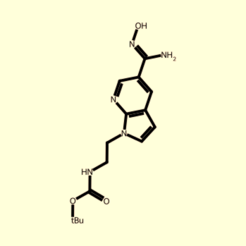 CC(C)(C)OC(=O)NCCn1ccc2cc(/C(N)=N/O)cnc21